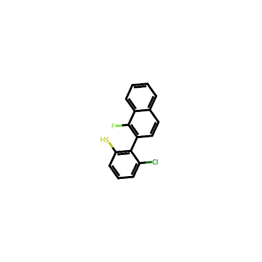 Fc1c(-c2c(S)cccc2Cl)ccc2ccccc12